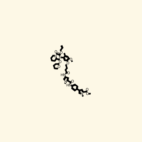 C=CCOC(=O)N(c1cc(OCCCC(=O)Nc2cc(C(=O)Nc3ccc(-c4cc(C(=O)OC)n(C)c4)cc3)n(C)c2)c(OC)cc1C)C(OC1CCCCO1)C1CCCCN1C=O